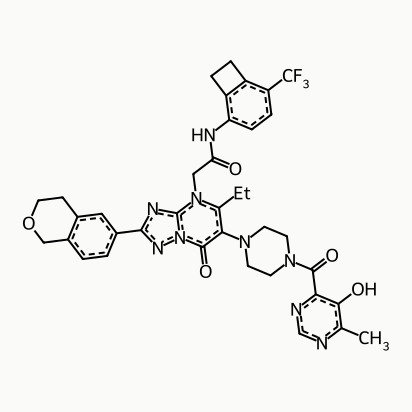 CCc1c(N2CCN(C(=O)c3ncnc(C)c3O)CC2)c(=O)n2nc(-c3ccc4c(c3)CCOC4)nc2n1CC(=O)Nc1ccc(C(F)(F)F)c2c1CC2